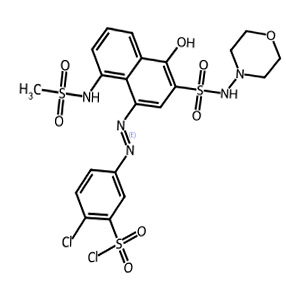 CS(=O)(=O)Nc1cccc2c(O)c(S(=O)(=O)NN3CCOCC3)cc(/N=N/c3ccc(Cl)c(S(=O)(=O)Cl)c3)c12